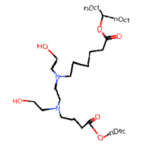 CCCCCCCCCCOC(=O)CCCN(CCO)CCN(CCO)CCCCCC(=O)OC(CCCCCCCC)CCCCCCCC